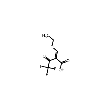 CCO/C=C(/C(=O)O)C(=O)C(F)(F)F